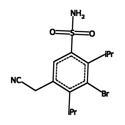 CC(C)c1c(CC#N)cc(S(N)(=O)=O)c(C(C)C)c1Br